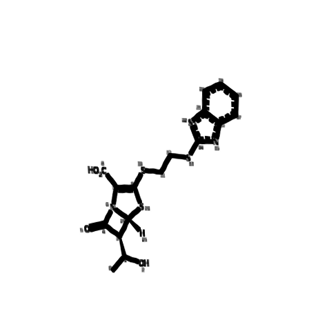 CC(O)[C@H]1C(=O)N2C(C(=O)O)=C(SCCSc3nc4ccccc4s3)S[C@H]12